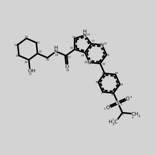 CC(C)S(=O)(=O)c1ccc(-c2cnc3[nH]cc(C(=O)NCC4CCCCC4O)c3n2)cc1